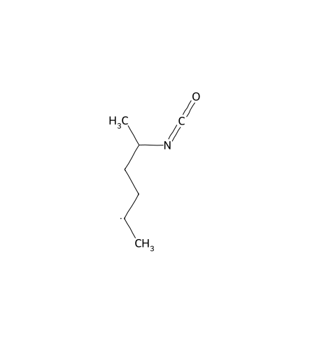 C[CH]CCC(C)N=C=O